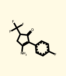 NC1=C(c2ccc(F)cc2)C(=O)C(C(F)(F)F)C1